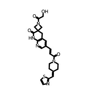 O=C(C=Cc1cnc2c(c1)CC1(CN(C(=O)CO)C1)C(=O)N2)N1CCC(=Cc2nccs2)CC1